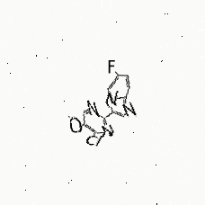 COc1cnc(-c2cnc3ccc(F)cn23)nc1Cl